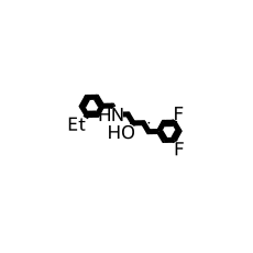 CCc1cccc(CNCC(O)[CH]Cc2cc(F)cc(F)c2)c1